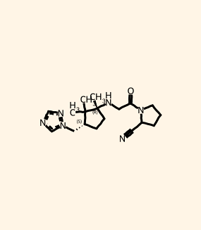 CC1(C)[C@@H](Cn2cncn2)CC[C@@]1(C)NCC(=O)N1CCCC1C#N